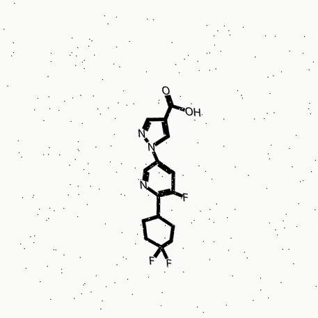 O=C(O)c1cnn(-c2cnc(C3CCC(F)(F)CC3)c(F)c2)c1